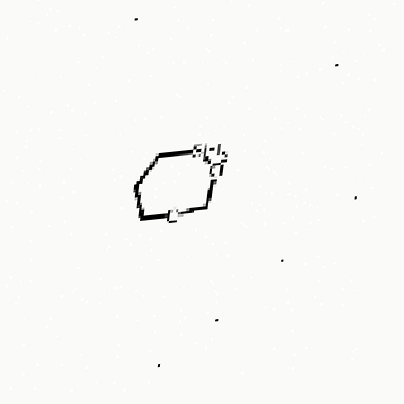 C1CCO[SiH2]CC1